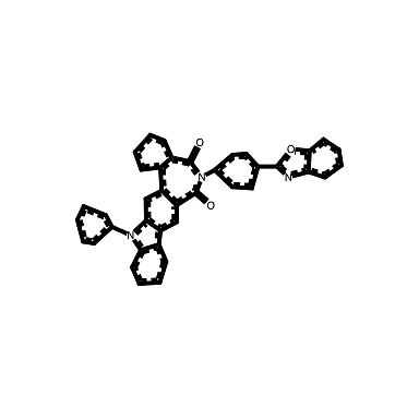 O=c1c2ccccc2c2cc3c(cc2c(=O)n1-c1ccc(-c2nc4ccccc4o2)cc1)c1ccccc1n3-c1ccccc1